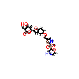 Cc1c(-c2cc3cc(OCc4cnc(S(=O)(=O)C5CNCCO5)s4)ccc3o2)oc(=O)c(C)c1O